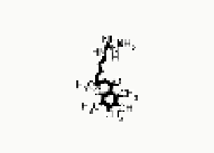 Cc1c(C)c2c(c(C)c1O)C(=O)CC(C)(CCCCNC(=N)NN)O2